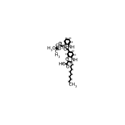 CCCCCCCCC[C@H](Nc1ccc(C(=O)Nc2ccccc2NC(=O)OC(C)(C)C)cc1)C(=O)C(=O)O